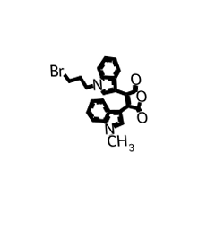 Cn1cc(C2=C(c3cn(CCCBr)c4ccccc34)C(=O)OC2=O)c2ccccc21